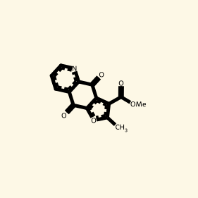 COC(=O)c1c(C)oc2c1C(=O)c1ncccc1C2=O